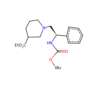 CCOC(=O)C1CCCN(C[C@H](NC(=O)OC(C)(C)C)c2ccccc2)C1